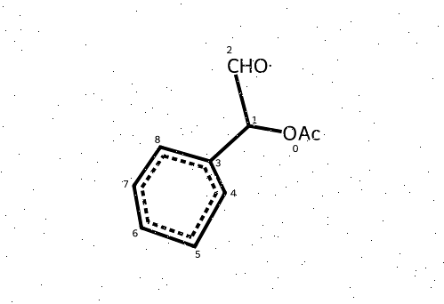 CC(=O)OC([C]=O)c1ccccc1